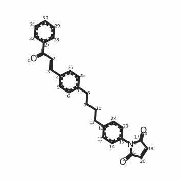 O=C(C=Cc1ccc(CCCCc2ccc(N3C(=O)C=CC3=O)cc2)cc1)c1ccccc1